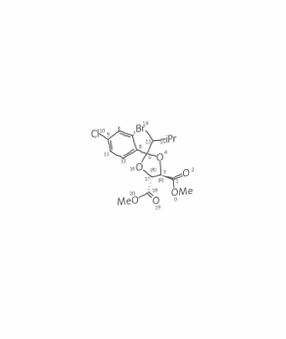 COC(=O)[C@@H]1OC(c2ccc(Cl)cc2)(C(Br)C(C)C)O[C@H]1C(=O)OC